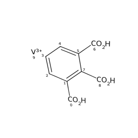 O=C(O)c1cccc(C(=O)O)c1C(=O)O.[V+3]